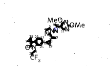 C=C(c1nccn1/N=C(\C)c1cnc(OC)nc1OC)[C@H]1C[C@@H]1c1ccc2c(c1)N(CCC(F)(F)F)C(=O)C21CC1